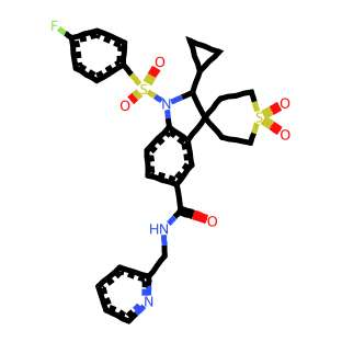 O=C(NCc1ccccn1)c1ccc2c(c1)C1(CCS(=O)(=O)CC1)C(C1CC1)N2S(=O)(=O)c1ccc(F)cc1